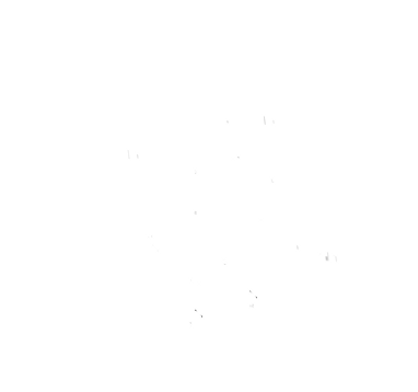 CCCO.CCOc1cc2c(cc1OCC)C(C(S)C#N)=NCC2